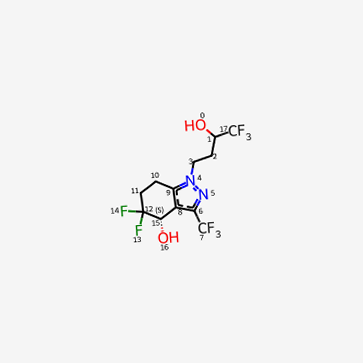 OC(CCn1nc(C(F)(F)F)c2c1CCC(F)(F)[C@H]2O)C(F)(F)F